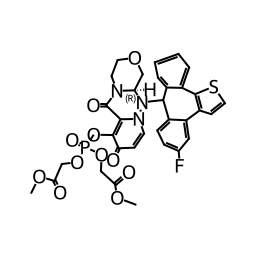 COC(=O)COP(=O)(OCC(=O)OC)Oc1c2n(ccc1=O)N(C1c3ccc(F)cc3-c3ccsc3-c3ccccc31)[C@@H]1COCCN1C2=O